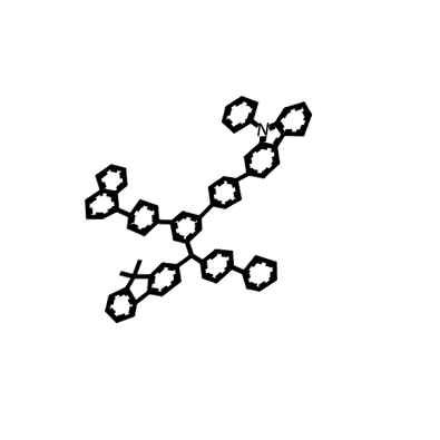 CC1(C)c2ccccc2-c2ccc(C(c3ccc(-c4ccccc4)cc3)c3cc(-c4ccc(-c5ccc6c7ccccc7n(-c7ccccc7)c6c5)cc4)cc(-c4ccc(-c5cccc6ccccc56)cc4)c3)cc21